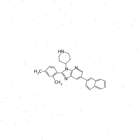 Cc1ccc(-c2nc3cc(-c4ccc5ccccc5c4)cnc3n2C2CCNCC2)c(C)c1